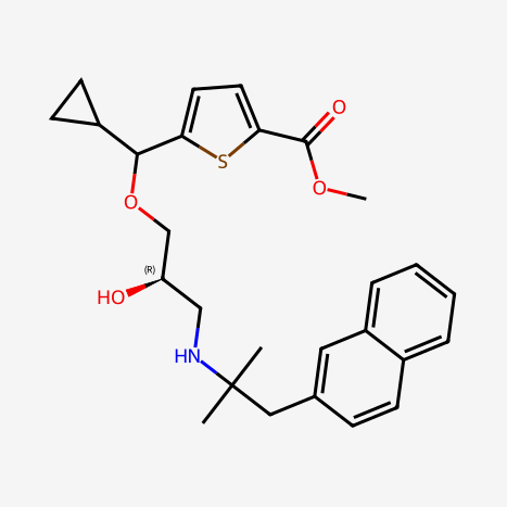 COC(=O)c1ccc(C(OC[C@H](O)CNC(C)(C)Cc2ccc3ccccc3c2)C2CC2)s1